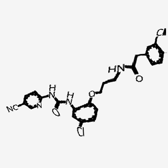 N#Cc1ccc(NC(=O)Nc2cc(Cl)ccc2OCCCNC(=O)Cc2cccc(Cl)c2)nc1